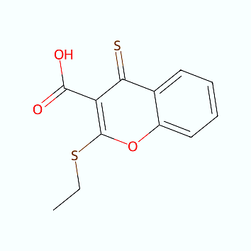 CCSc1oc2ccccc2c(=S)c1C(=O)O